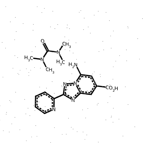 CN(C)C(=O)N(C)C.Nc1cc(C(=O)O)cc2nc(-c3ccccn3)nn12